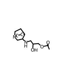 CC(=O)OCC(O)CNC1CN2CCC1CC2